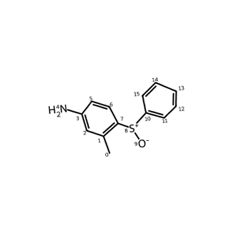 Cc1cc(N)ccc1[S+]([O-])c1ccccc1